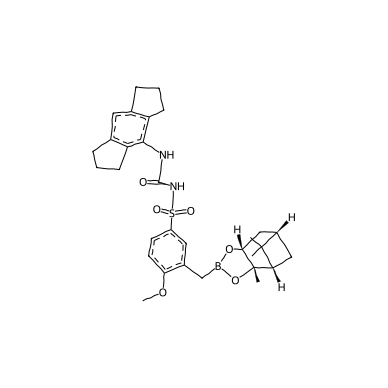 COc1ccc(S(=O)(=O)NC(=O)Nc2c3c(cc4c2CCC4)CCC3)cc1CB1O[C@@H]2C[C@@H]3C[C@@H](C3(C)C)[C@]2(C)O1